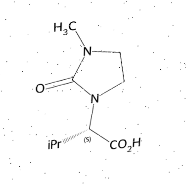 CC(C)[C@@H](C(=O)O)N1CCN(C)C1=O